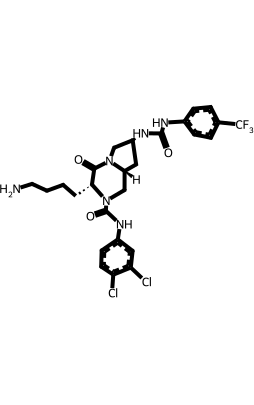 NCCCC[C@@H]1C(=O)N2C[C@H](NC(=O)Nc3ccc(C(F)(F)F)cc3)C[C@@H]2CN1C(=O)Nc1ccc(Cl)c(Cl)c1